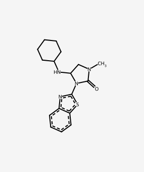 CN1CC(NC2CCCCC2)N(c2nc3ccccc3s2)C1=O